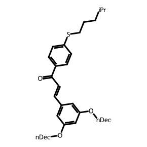 CCCCCCCCCCOc1cc(C=CC(=O)c2ccc(SCCCC(C)C)cc2)cc(OCCCCCCCCCC)c1